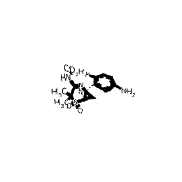 CC1(C)C(NC(=O)O)=N[C@@]2(c3cc(N)ccc3F)C[C@H]2S1(=O)=O